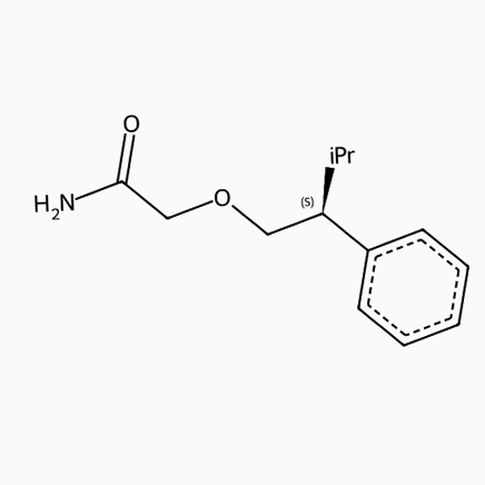 CC(C)[C@H](COCC(N)=O)c1ccccc1